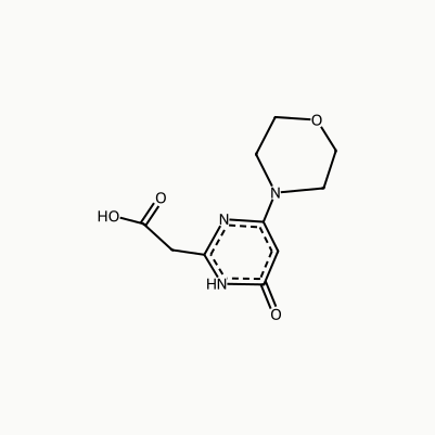 O=C(O)Cc1nc(N2CCOCC2)cc(=O)[nH]1